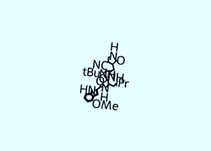 COc1cccc2[nH]c(C(=O)NC(CC(C)C)C(=O)NC(CC3CCNC3=O)C(C#N)NC(C)(C)C)cc12